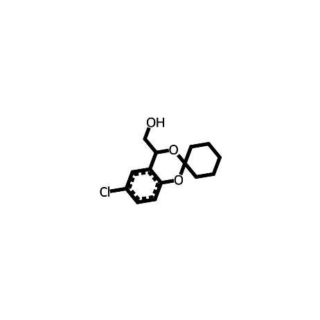 OCC1OC2(CCCCC2)Oc2ccc(Cl)cc21